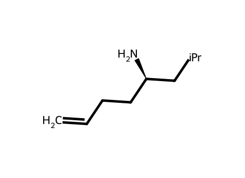 C=CCC[C@@H](N)CC(C)C